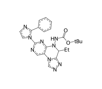 CCC1c2nncn2-c2cnc(-n3ccnc3-c3ccccc3)nc2N1NC(=O)OC(C)(C)C